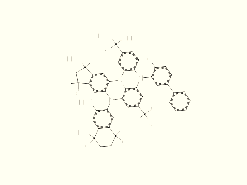 Cc1ccc(-c2ccccc2)cc1N1c2ccc(C(C)(C)C)cc2B2c3cc4c(cc3N(c3cc5c(cc3C)C(C)(C)CCC5(C)C)c3cc(C(C)(C)C)cc1c32)C(C)(C)CC4(C)C